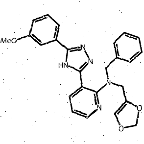 COc1cccc(-c2nnc(-c3cccnc3N(CC3=COCO3)Cc3ccccc3)[nH]2)c1